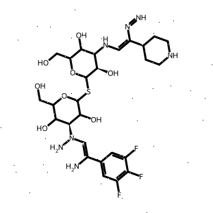 N=N/C(=C\NC1C(O)C(CO)OC(SC2OC(CO)C(O)[C@H](N(N)/C=C(\N)c3cc(F)c(F)c(F)c3)C2O)[C@@H]1O)C1CCNCC1